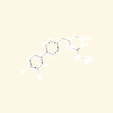 COC[C@@H](Cc1ccc(-c2ccc(F)c(Cl)c2)cc1)NC(=O)OC(C)(C)C